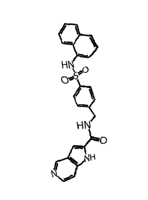 O=C(NCc1ccc(S(=O)(=O)Nc2cccc3ccccc23)cc1)c1cc2cnccc2[nH]1